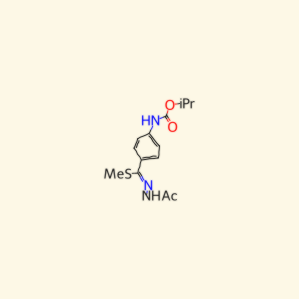 CS/C(=N\NC(C)=O)c1ccc(NC(=O)OC(C)C)cc1